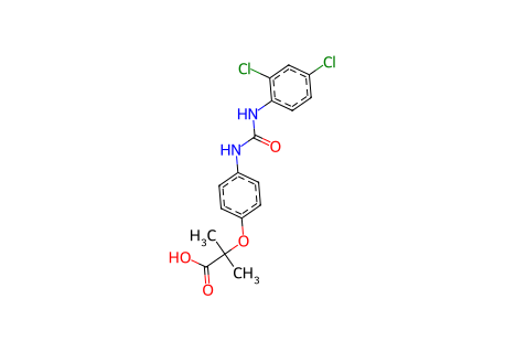 CC(C)(Oc1ccc(NC(=O)Nc2ccc(Cl)cc2Cl)cc1)C(=O)O